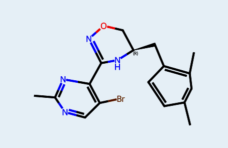 Cc1ccc(C[C@@H]2CON=C(c3nc(C)ncc3Br)N2)c(C)c1